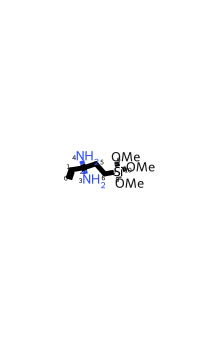 C=CC(N)(N)CC[Si](OC)(OC)OC